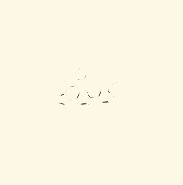 CCC1c2nnc(C)n2-c2cnc(-c3ccnc(N(C)C)c3)nc2N1C1CCCC1